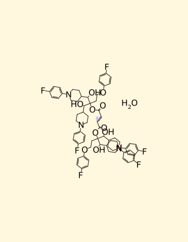 O.O=C(/C=C/C(=O)OC(CCOc1ccc(F)cc1)(C(O)C1CCN(c2ccc(F)cc2)CC1)C(O)C1CCN(c2ccc(F)cc2)CC1)OC(CCOc1ccc(F)cc1)(C(O)C1CCN(c2ccc(F)cc2)CC1)C(O)C1CCN(c2ccc(F)cc2)CC1